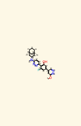 COc1cc(-c2cc(O)c(-c3ccc(N(C)[C@H]4C[C@]5(C)CCC[C@](C)(C4)C5)nn3)c(F)c2)cnn1